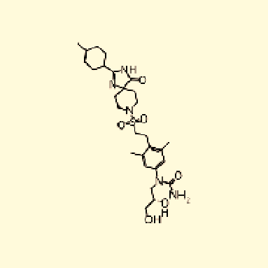 Cc1cc(N(C[C@H](O)CO)C(N)=O)cc(C)c1CCS(=O)(=O)N1CCC2(CC1)N=C(C1CCC(C)CC1)NC2=O